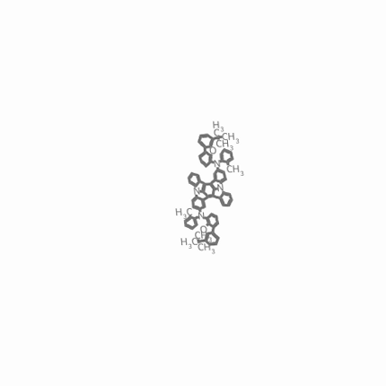 Cc1ccccc1N(c1ccc2c(c1)c1c3c4ccccc4n4c5ccc(N(c6ccccc6C)c6cccc7c6oc6c(C(C)(C)C)cccc67)cc5c(c5c6ccccc6n2c51)c34)c1cccc2c1oc1c(C(C)(C)C)cccc12